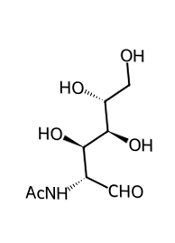 C[14C](=O)N[C@@H](C=O)[C@@H](O)[C@H](O)[C@H](O)CO